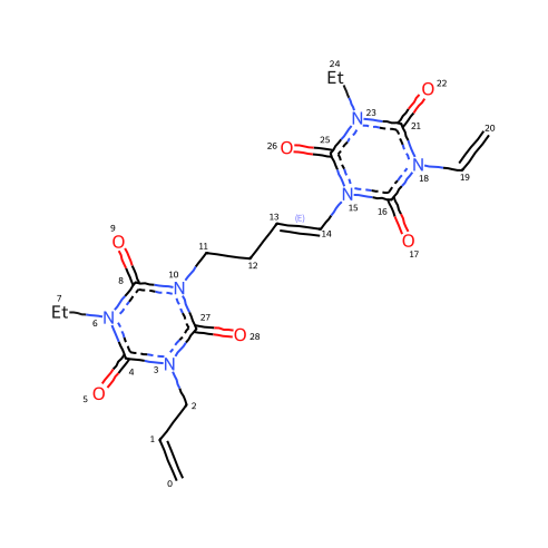 C=CCn1c(=O)n(CC)c(=O)n(CC/C=C/n2c(=O)n(C=C)c(=O)n(CC)c2=O)c1=O